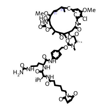 COc1cc2cc(c1Cl)N(C)C(=O)CC(OC(=O)[C@H](C)N(C)C(=O)OCc1ccc(NC(=O)C(CCCNC(N)=O)NC(=O)[C@@H](NC(=O)CCCCCN3C(=O)C=CC3=O)C(C)C)cc1)C1(C)OC1C(C)C1CC(O)(NC(=O)O1)C(OC)/C=C/C=C(\C)C2